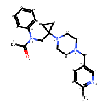 CCC(=O)N(CC1(N2CCN(Cc3ccc(C(F)(F)F)nc3)CC2)CC1)c1ccccc1